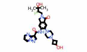 CC(C)(O)[C@H](F)CN1Cc2cc(NC(=O)c3cnn4cccnc34)c(N3CCN(C4CC(O)C4)CC3)cc2C1=O